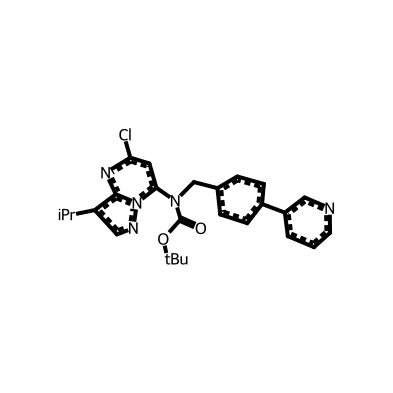 CC(C)c1cnn2c(N(Cc3ccc(-c4cccnc4)cc3)C(=O)OC(C)(C)C)cc(Cl)nc12